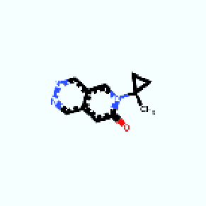 CC1(n2cc3cnncc3cc2=O)CC1